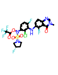 Cn1cnc2ccc(Nc3c(F)ccc(N(OC(=O)C(F)(F)F)S(=O)(=O)N4CC[C@H](F)C4)c3Cl)c(F)c2c1=O